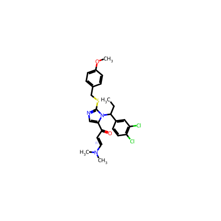 CCC(c1ccc(Cl)c(Cl)c1)n1c(C(=O)/C=C/N(C)C)cnc1SCc1ccc(OC)cc1